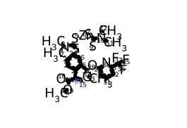 CN(C)C(=S)[S][Zn][S]C(=S)N(C)C.CO/C=C(/C(=O)OC)c1ccccc1COc1cccc(C(F)(F)F)n1